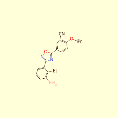 Bc1cccc(-c2noc(-c3ccc(OC(C)C)c(C#N)c3)n2)c1CC